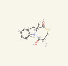 C[C@H]1CSC(=O)[C@H]2Cc3ccccc3N2C1=O